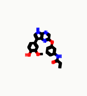 C=CC(=O)Nc1cccc(Oc2cnc3[nH]cc(-c4ccc(O)c(OC)c4)c3n2)c1